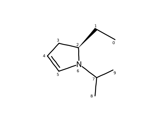 CC[C@@H]1CC=CN1C(C)C